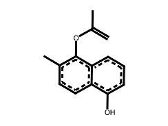 C=C(C)Oc1c(C)ccc2c(O)cccc12